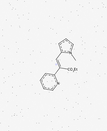 CCOC(=O)/C(=C\c1cccn1C)c1ccccn1